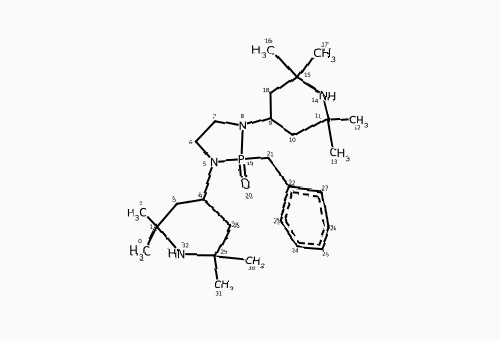 CC1(C)CC(N2CCN(C3CC(C)(C)NC(C)(C)C3)P2(=O)Cc2ccccc2)CC(C)(C)N1